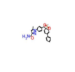 Cc1cc(C(N)=O)nn1-c1ccc(CC2(S(C)(=O)=O)C=CC(c3ccccc3)=CC2)cc1